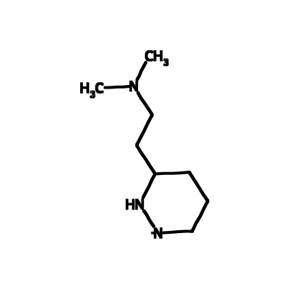 CN(C)CCC1CCC[N]N1